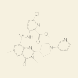 COC(=O)c1nc(Cl)ccc1N[C@H](C)c1cc(C)cc2c(=O)n(C)c(C3CCN(c4cccnc4)CC3)nc12